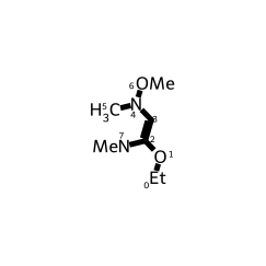 CCO/C(=C/N(C)OC)NC